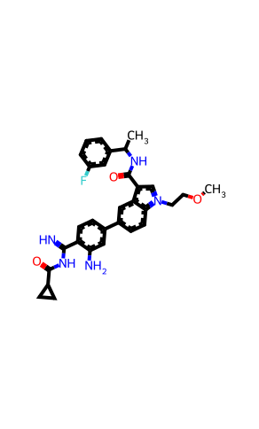 COCCn1cc(C(=O)NC(C)c2cccc(F)c2)c2cc(-c3ccc(C(=N)NC(=O)C4CC4)c(N)c3)ccc21